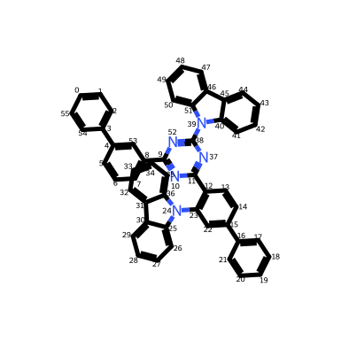 c1ccc(-c2cccc(-c3nc(-c4ccc(-c5ccccc5)cc4-n4c5ccccc5c5ccccc54)nc(-n4c5ccccc5c5ccccc54)n3)c2)cc1